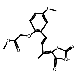 COC(=O)COc1ccc(OC)cc1C=CC(C)=C1SC(=S)NC1=O